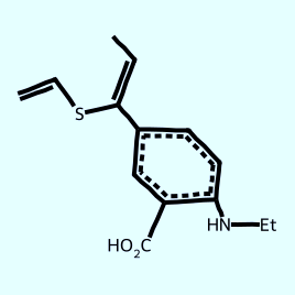 C=CS/C(=C\C)c1ccc(NCC)c(C(=O)O)c1